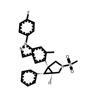 Cc1cc2c(cnn2-c2ccc(F)cc2)cc1[C@]12CN(S(C)(=O)=O)C[C@H]1[C@@H]2c1ccccc1